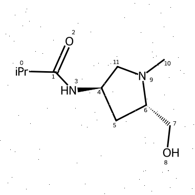 CC(C)C(=O)N[C@@H]1C[C@@H](CO)N(C)C1